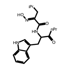 CCCC(=O)C(Cc1c[nH]c2ccccc12)NC(=O)C(CC(C)C)=NO